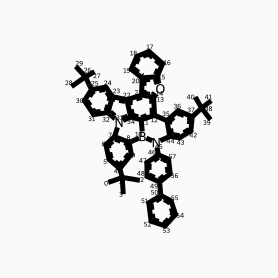 CC(C)(C)c1ccc2c(c1)B1c3c(c4oc5ccccc5c4c4c5cc(C(C)(C)C)ccc5n-2c34)-c2cc(C(C)(C)C)ccc2N1c1ccc(-c2ccccc2)cc1